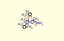 CCc1ccc(F)c(OCc2c(C)nc(-c3c(C)cccc3C)nc2N2CCN(CC(N)=O)[C@H](C)C2)c1C